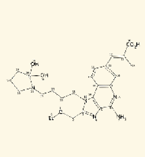 CCOCc1nc2c(N)nc3cc(C=C(C)C(=O)O)ccc3c2n1CCCCN1CCCS1(O)O